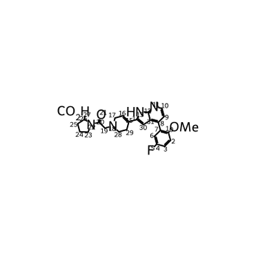 COc1ccc(F)cc1-c1ccnc2[nH]c(C3=CCN(CC(=O)N4CCC[C@H]4C(=O)O)CC3)cc12